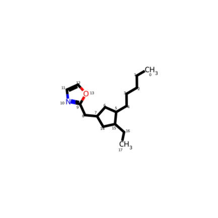 CCCCCC1CC(Cc2ncco2)CC1CC